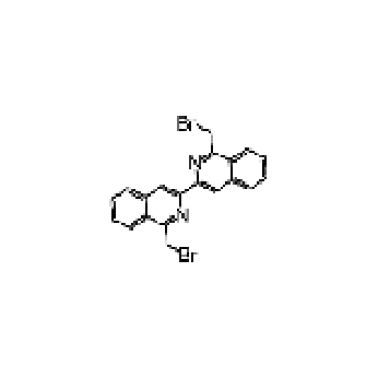 BrCc1nc(-c2cc3ccccc3c(CBr)n2)cc2ccccc12